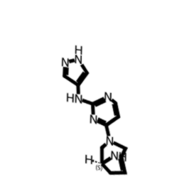 C1=C2CN(c3ccnc(Nc4cn[nH]c4)n3)C[C@H](C1)N2